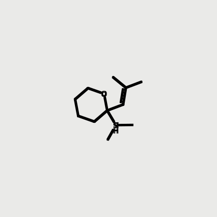 CC(C)=CC1([SiH](C)C)CCCCO1